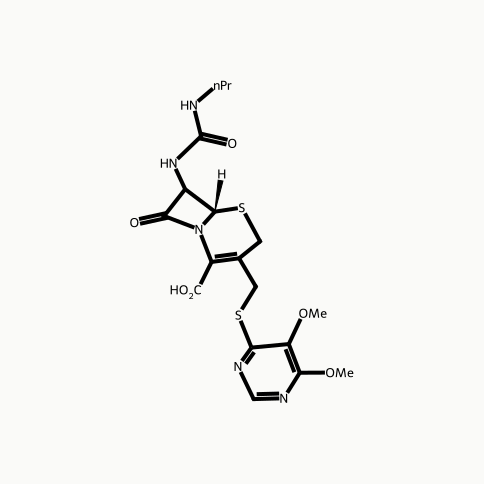 CCCNC(=O)NC1C(=O)N2C(C(=O)O)=C(CSc3ncnc(OC)c3OC)CS[C@@H]12